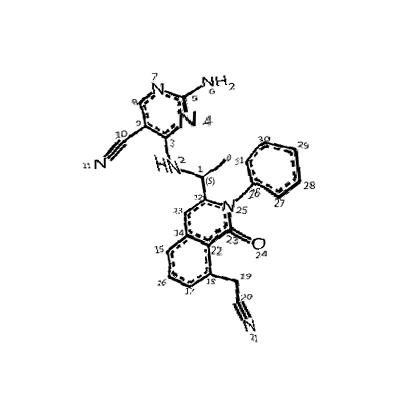 C[C@H](Nc1nc(N)ncc1C#N)c1cc2cccc(CC#N)c2c(=O)n1-c1ccccc1